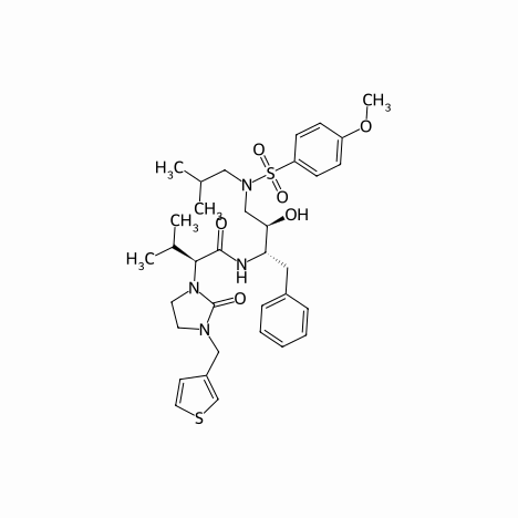 COc1ccc(S(=O)(=O)N(CC(C)C)C[C@@H](O)[C@H](Cc2ccccc2)NC(=O)[C@H](C(C)C)N2CCN(Cc3ccsc3)C2=O)cc1